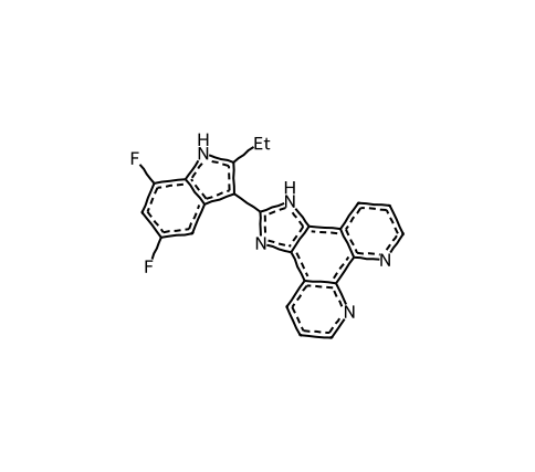 CCc1[nH]c2c(F)cc(F)cc2c1-c1nc2c3cccnc3c3ncccc3c2[nH]1